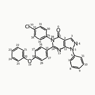 O=c1c2cnn(-c3ccccc3)c2nc(-c2ccc(Oc3ccccc3)cc2)n1-c1ccc(Cl)cc1